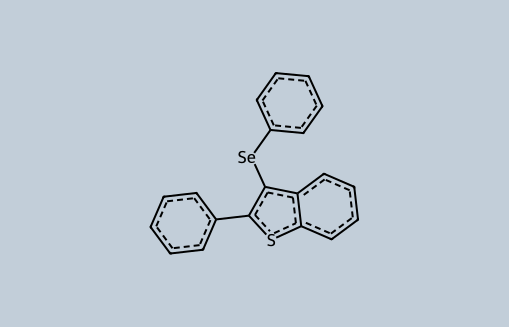 c1ccc([Se]c2c(-c3ccccc3)sc3ccccc23)cc1